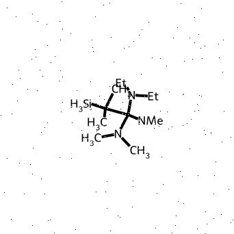 CCN(CC)C(NC)(N(C)C)C(C)(C)[SiH3]